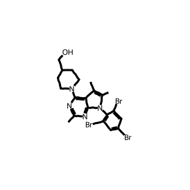 Cc1nc(N2CCC(CO)CC2)c2c(C)c(C)n(-c3c(Br)cc(Br)cc3Br)c2n1